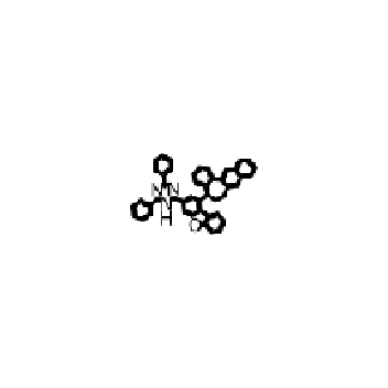 c1ccc(C2=NC(c3ccccc3)NC(c3cc(C4CCc5cc6ccccc6cc5-c5ccccc54)c4c(c3)oc3ccccc34)=N2)cc1